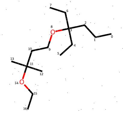 CCCC(CC)(CC)OCCC(C)(C)OCC